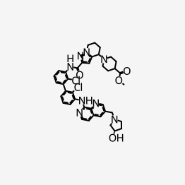 COC(=O)C1CCN(C2CCCn3nc(C(=O)Nc4cccc(-c5cccc(Nc6nccc7cc(CN8CC[C@@H](O)C8)cnc67)c5Cl)c4Cl)cc32)CC1